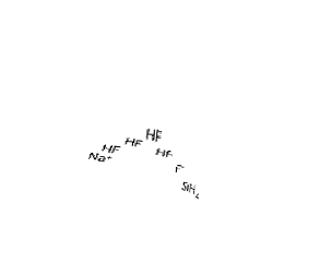 F.F.F.F.[F-].[Na+].[SiH4]